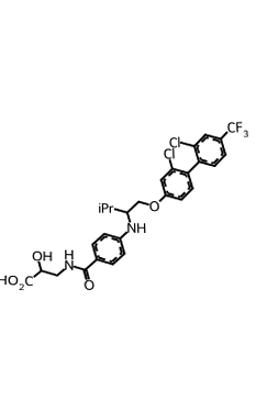 CC(C)C(COc1ccc(-c2ccc(C(F)(F)F)cc2Cl)c(Cl)c1)Nc1ccc(C(=O)NCC(O)C(=O)O)cc1